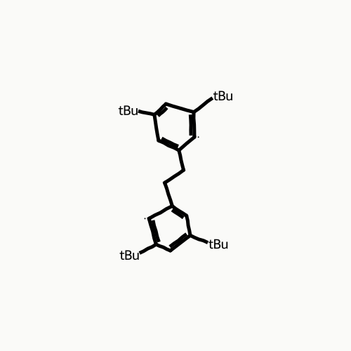 CC(C)(C)c1[c]c(CCc2[c]c(C(C)(C)C)cc(C(C)(C)C)c2)cc(C(C)(C)C)c1